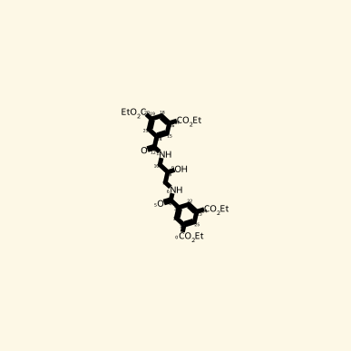 CCOC(=O)c1cc(C(=O)NCC(O)CNC(=O)c2cc(C(=O)OCC)cc(C(=O)OCC)c2)cc(C(=O)OCC)c1